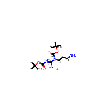 CC(C)(C)OC(=O)/N=C(\N)N(CCCN)C(=O)OC(C)(C)C